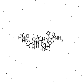 CC(C)NC(=O)NC[C@@H](NC(=O)N[C@H](C(=O)N1C[C@H]2[C@@H]([C@H]1C(=O)NC(C(=O)C(N)=O)C1CCC1)C2(C)C)C(C)(C)C)C(C)C